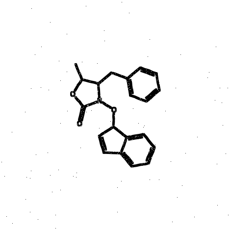 CC1OC(=O)N(OC2C=Cc3ccccc32)C1Cc1ccccc1